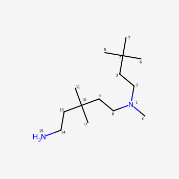 CN(CCC(C)(C)C)CCC(C)(C)CCN